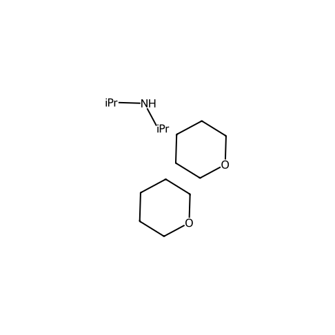 C1CCOCC1.C1CCOCC1.CC(C)NC(C)C